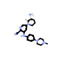 C[C@@H]1[C@H](N)CCCN1c1cnc(C#N)c(Nc2ccc(N3CCN(C)CC3)cc2)c1